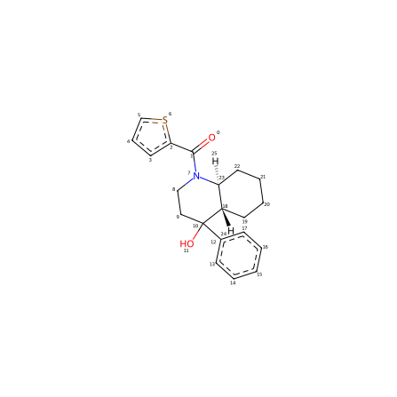 O=C(c1cccs1)N1CCC(O)(c2ccccc2)[C@H]2CCCC[C@@H]21